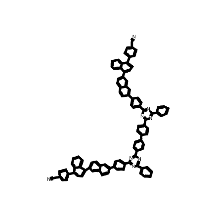 N#Cc1ccc(-c2ccc(-c3ccc4cc(-c5ccc(-c6nc(-c7ccccc7)nc(-c7ccc(-c8ccc(-c9nc(-c%10ccccc%10)nc(-c%10ccc(-c%11ccc%12ccc(-c%13ccc(-c%14ccc(C#N)cc%14)c%14ccccc%13%14)cc%12c%11)cc%10)n9)cc8)cc7)n6)cc5)ccc4c3)c3ccccc23)cc1